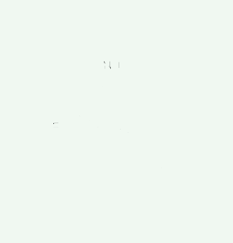 CC1CC=C(c2cc(N)cc(F)c2)CC1